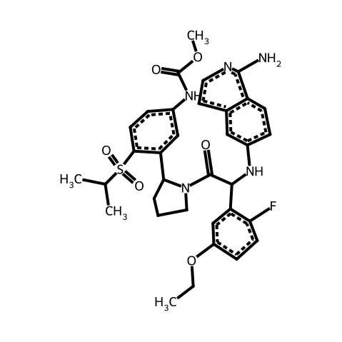 CCOc1ccc(F)c(C(Nc2ccc3c(N)nccc3c2)C(=O)N2CCCC2c2cc(NC(=O)OC)ccc2S(=O)(=O)C(C)C)c1